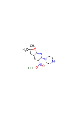 CC1(C)Cc2cc([N+](=O)[O-])c(N3CCNCC3)nc2O1.Cl